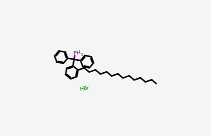 Br.CCCCCCCCCCCCCCc1ccccc1C(P)(c1ccccc1)c1ccccc1